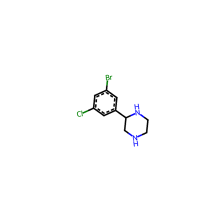 Clc1cc(Br)cc(C2CNCCN2)c1